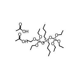 CC(=O)O.CC(=O)O.CCC[CH2][Sn]([CH2]CCC)([O][Si](OCC)(OCC)OCC)[O][Si](OCC)(OCC)OCC